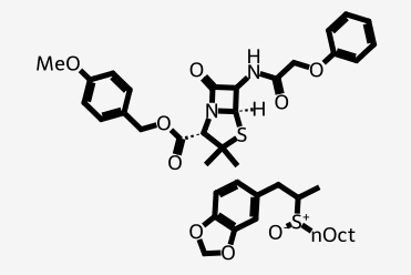 CCCCCCCC[S+]([O-])C(C)Cc1ccc2c(c1)OCO2.COc1ccc(COC(=O)[C@@H]2N3C(=O)C(NC(=O)COc4ccccc4)[C@H]3SC2(C)C)cc1